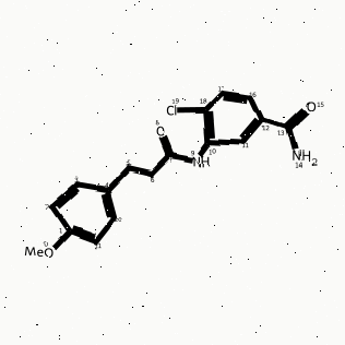 COc1ccc(CCC(=O)Nc2cc(C(N)=O)ccc2Cl)cc1